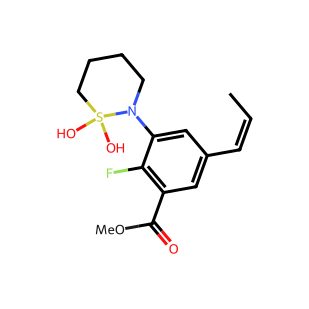 C/C=C\c1cc(C(=O)OC)c(F)c(N2CCCCS2(O)O)c1